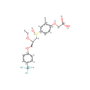 CCO[C@H](COc1ccc(C(F)(F)F)cc1)C[S@@+]([O-])c1ccc(OCC(=O)O)c(C)c1